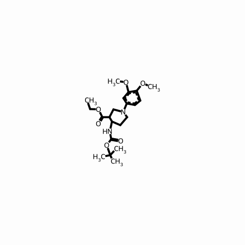 CCOC(=O)C1CN(c2ccc(OC)c(OC)c2)CCC1NC(=O)OC(C)(C)C